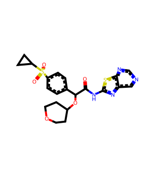 O=C(Nc1nc2cncnc2s1)C(OC1CCOCC1)c1ccc(S(=O)(=O)C2CC2)cc1